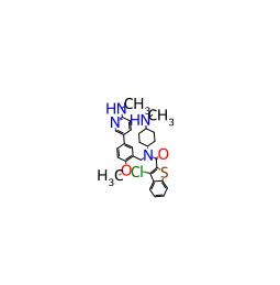 CNc1ccc(-c2ccc(OC)c(CN(C(=O)c3sc4ccccc4c3Cl)[C@H]3CC[C@H](NC)CC3)c2)cn1